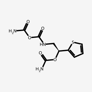 NC(=O)OC(=O)NC[C@H](OC(N)=O)c1cccs1